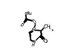 CC1C(=O)NCCN1OC(=O)C(C)(C)C